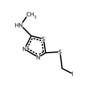 CNc1nnc(SCI)s1